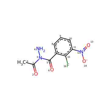 CC(=O)N(N)C(=O)c1cccc([N+](=O)[O-])c1F